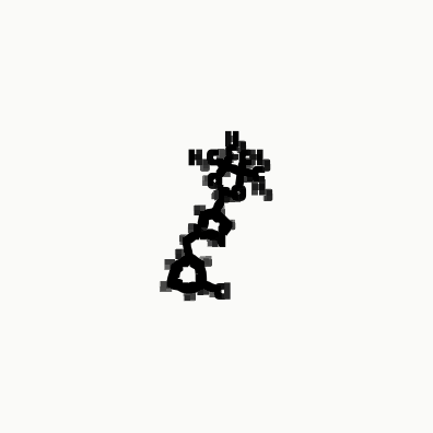 CC1(C)OB(c2cnn(Cc3cccc(Cl)c3)c2)OC1(C)C